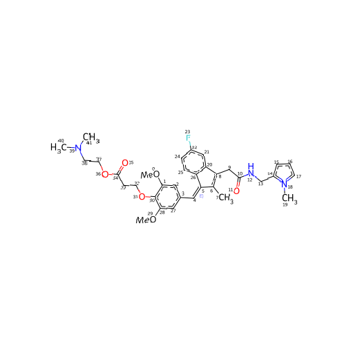 COc1cc(/C=C2/C(C)=C(CC(=O)NCc3cccn3C)c3cc(F)ccc32)cc(OC)c1OCCC(=O)OCCN(C)C